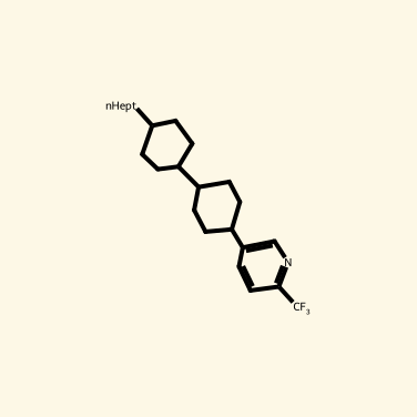 CCCCCCCC1CCC(C2CCC(c3ccc(C(F)(F)F)nc3)CC2)CC1